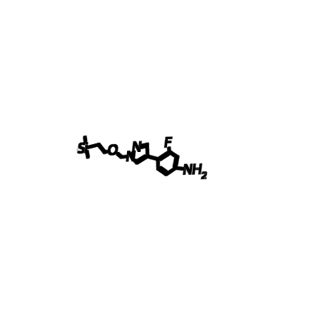 C[Si](C)(C)CCOCn1cc(-c2ccc(N)cc2F)cn1